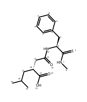 CNC(=S)[C@H](Cc1ccccc1)NC(=O)C[C@@H](CC(C)C)C(=O)O